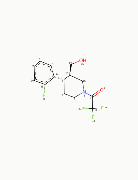 O=C(N1CC[C@H](c2ccccc2F)[C@@H](CO)C1)C(F)(F)F